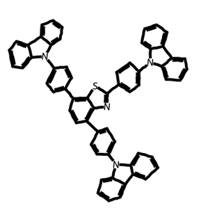 c1ccc2c(c1)c1ccccc1n2-c1ccc(-c2nc3c(-c4ccc(-n5c6ccccc6c6ccccc65)cc4)ccc(-c4ccc(-n5c6ccccc6c6ccccc65)cc4)c3s2)cc1